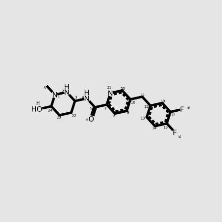 CN1NC(NC(=O)c2ccc(Cc3ccc(F)c(F)c3)cn2)CCC1O